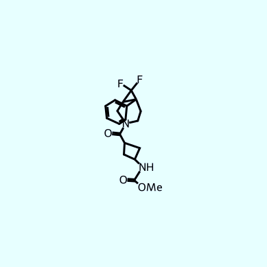 COC(=O)NC1CC(C(=O)N2CCC3(c4ccccc4)C(C2)C3(F)F)C1